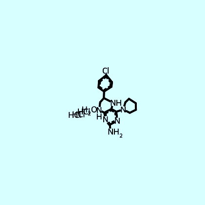 Cl.Cl.Cl.Nc1nc2c(c(N3CCCCC3)n1)NC(c1ccc(Cl)cc1)CN2.O